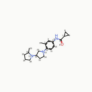 Cc1cc(NC(=O)C2CC2)ccc1N1CCC(N2CCCC2C)C1